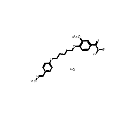 COc1cc(C(=O)N(C(C)C)C(C)C)ccc1OCCCCCOc1ccc(C=NN)cc1.Cl